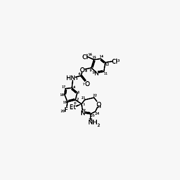 CC[C@@]1(c2cc(NC(=O)Oc3ncc(Cl)cc3Cl)ccc2F)CCOCC(N)=N1